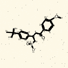 COc1ccc(C(=O)CC(C[N+](=O)[O-])c2ccc(C(C)(C)C)cc2)cc1